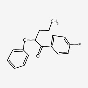 CCCC(Oc1ccccc1)C(=O)c1ccc(F)cc1